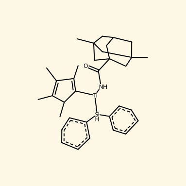 CC1=C(C)C(C)[C]([Ti]([NH]C(=O)C23CC4CC(C)(CC(C)(C4)C2)C3)[SiH](c2ccccc2)c2ccccc2)=C1C